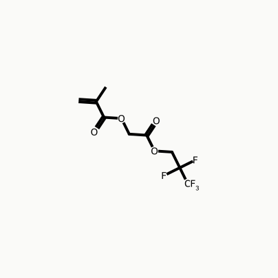 C=C(C)C(=O)OCC(=O)OCC(F)(F)C(F)(F)F